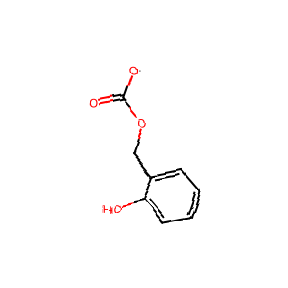 [O]C(=O)OCc1ccccc1O